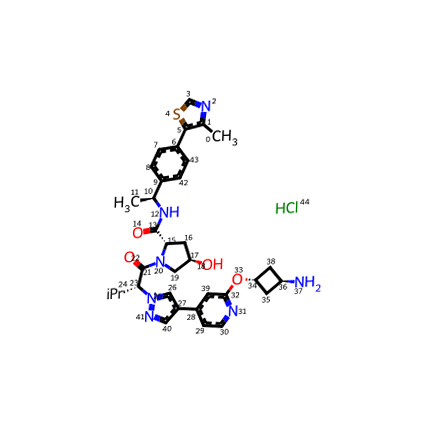 Cc1ncsc1-c1ccc([C@H](C)NC(=O)[C@@H]2C[C@@H](O)CN2C(=O)[C@@H](C(C)C)n2cc(-c3ccnc(O[C@H]4C[C@H](N)C4)c3)cn2)cc1.Cl